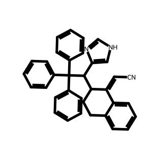 N#CC=C1c2ccccc2CCC1C(c1c[nH]cn1)C(c1ccccc1)(c1ccccc1)c1ccccc1